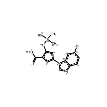 COC(=O)c1sc(-n2cnc3ccc(Cl)cc32)cc1O[Si](C)(C)C(C)(C)C